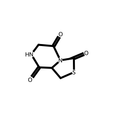 O=C1NCC(=O)N2C(=O)SCC12